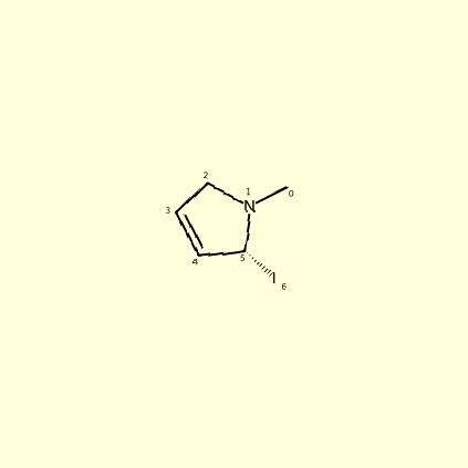 CN1CC=C[C@H]1I